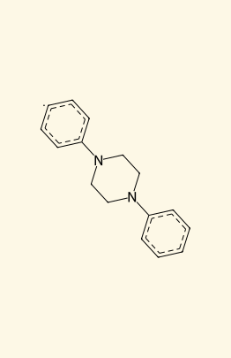 [c]1ccc(N2CCN(c3ccccc3)CC2)cc1